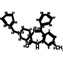 Cc1ccc2c(c1)NC(=O)C1(CCN(Cc3ccccc3)CC1)N=C2c1ccccc1